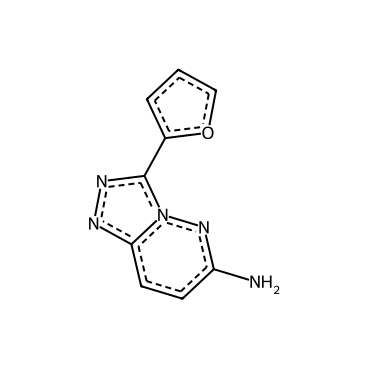 Nc1ccc2nnc(-c3ccco3)n2n1